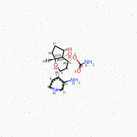 NC(=O)O[C@@H]1C[C@H](c2ccncc2N)O[C@@H]2CCC[C@@]12O